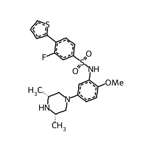 COc1ccc(N2C[C@@H](C)N[C@@H](C)C2)cc1NS(=O)(=O)c1ccc(-c2cccs2)c(F)c1